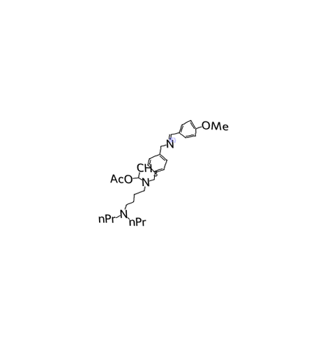 CCCN(CCC)CCCCN(Cc1ccc(C/N=C/c2ccc(OC)cc2)cc1)C(C)OC(C)=O